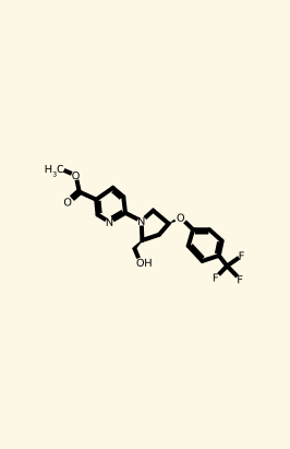 COC(=O)c1ccc(N2C[C@H](Oc3ccc(C(F)(F)F)cc3)C[C@H]2CO)nc1